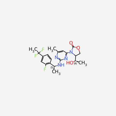 Cc1cc(N2C(=O)OCC2[C@@H](C)O)nc(N[C@@H](C)c2ccc(C(C)(F)F)cc2F)n1